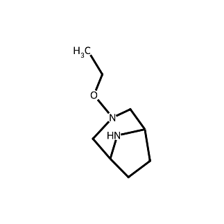 CCON1CC2CCC(C1)N2